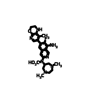 Cc1c(-c2cc3cc(N(C(=O)O)C4CN(C)CCN(C)C4)ncc3c(N)c2F)cnc2c1NCCO2